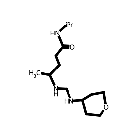 CC(C)NC(=O)CCC(C)NCNC1CCOCC1